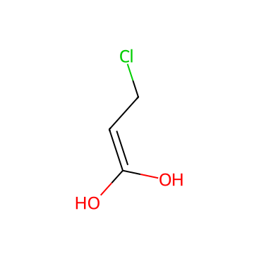 OC(O)=CCCl